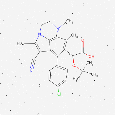 Cc1c([C@H](OC(C)(C)C)C(=O)O)c(-c2ccc(Cl)cc2)c2c(C#N)c(C)n3c2c1N(C)CC3